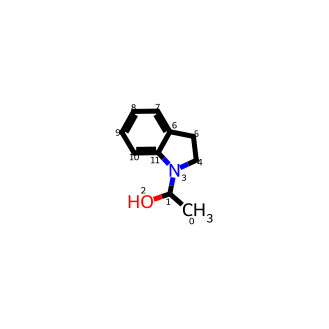 CC(O)N1CCc2ccccc21